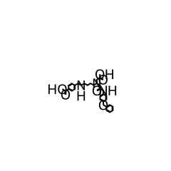 O=C(O)CN(CCCCNCc1ccc(C(=O)O)cc1)CC(=O)Nc1ccc(Oc2ccccc2)cc1